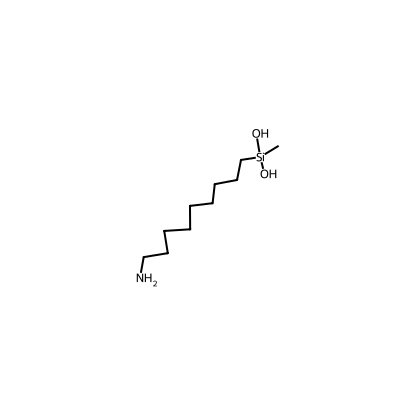 C[Si](O)(O)CCCCCCCCCN